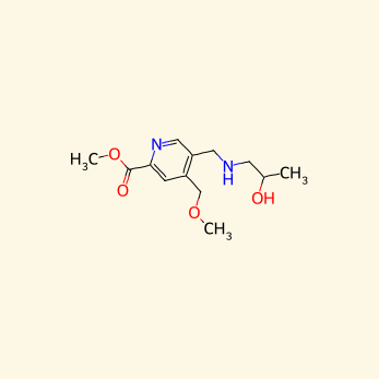 COCc1cc(C(=O)OC)ncc1CNCC(C)O